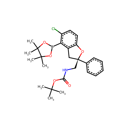 CC(C)(C)OC(=O)NC[C@@]1(c2ccccc2)Cc2c(ccc(Cl)c2B2OC(C)(C)C(C)(C)O2)O1